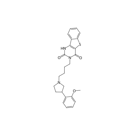 COc1ccccc1C1CCN(CCCCn2c(=O)[nH]c3c(sc4ccccc43)c2=O)C1